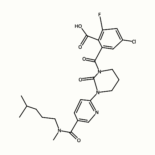 CC(C)CCCN(C)C(=O)c1ccc(N2CCCN(C(=O)c3cc(Cl)cc(F)c3C(=O)O)C2=O)nc1